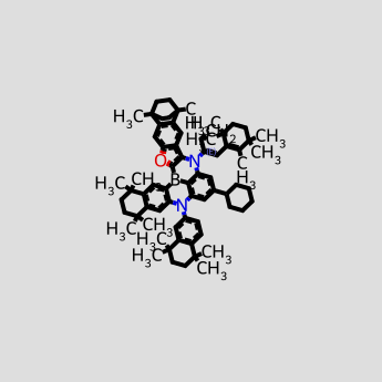 C=C/C(=C\C1=C(C)C(C)(C)CCC1(C)C)N1c2cc(C3CCCCC3)cc3c2B(c2cc4c(cc2N3c2ccc3c(c2)C(C)(C)CCC3(C)C)C(C)(C)CCC4(C)C)c2oc3cc4c(cc3c21)C1(C)CCC4(C)CC1